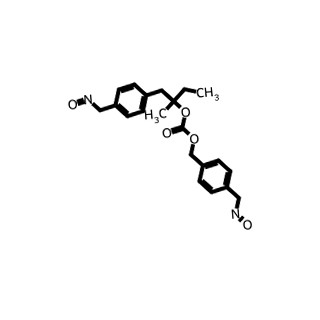 CCC(C)(Cc1ccc(CN=O)cc1)OC(=O)OCc1ccc(CN=O)cc1